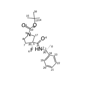 C[C@@H](NC(=O)[C@@]1(F)CCN(C(=O)OC(C)(C)C)C1)c1ccccc1